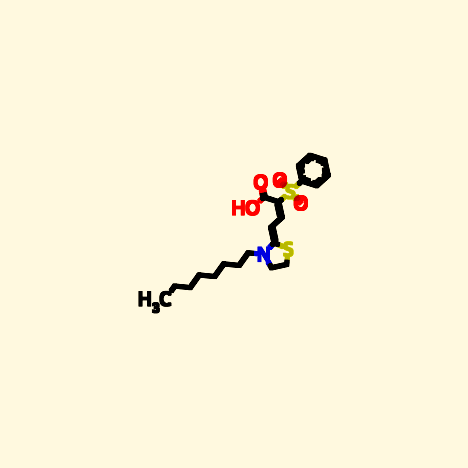 CCCCCCCCN1CCSC1=CC=C(C(=O)O)S(=O)(=O)c1ccccc1